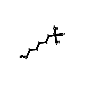 [CH2]CCCCCCCCCP(=O)(O)O